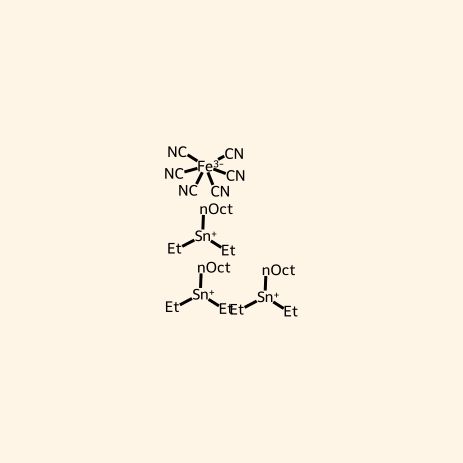 CCCCCCC[CH2][Sn+]([CH2]C)[CH2]C.CCCCCCC[CH2][Sn+]([CH2]C)[CH2]C.CCCCCCC[CH2][Sn+]([CH2]C)[CH2]C.N#[C][Fe-3]([C]#N)([C]#N)([C]#N)([C]#N)[C]#N